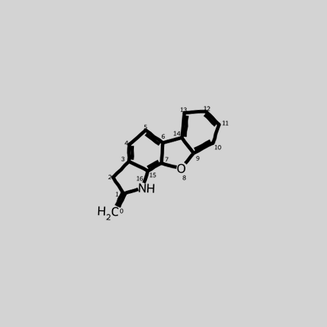 C=C1Cc2ccc3c(oc4ccccc43)c2N1